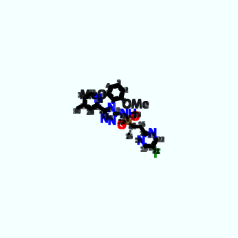 COc1cccc(OC)c1-n1c(NS(=O)(=O)[C@@H](C)Cc2ncc(F)cn2)nnc1-c1cc(C)ccn1